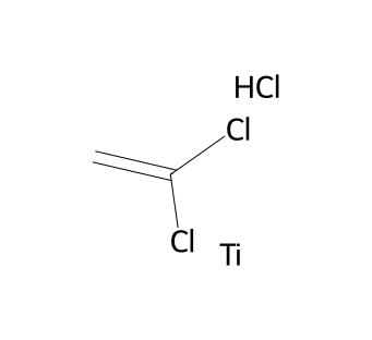 C=C(Cl)Cl.Cl.[Ti]